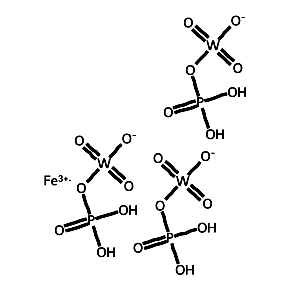 O=P(O)(O)[O][W](=[O])(=[O])[O-].O=P(O)(O)[O][W](=[O])(=[O])[O-].O=P(O)(O)[O][W](=[O])(=[O])[O-].[Fe+3]